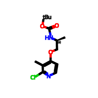 Cc1c(OC[C@H](C)NC(=O)OC(C)(C)C)ccnc1Cl